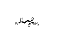 CC(C)NCCS(N)(=O)=O